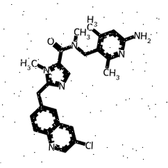 Cc1cc(N)nc(C)c1CN(C)C(=O)c1cnc(Cc2ccc3ncc(Cl)cc3c2)n1C